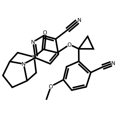 COc1ccc(C#N)c(C2(OCC(=O)N3CC4CCC(C3)N4c3ccc(C#N)cn3)CC2)c1